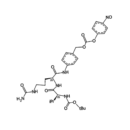 CC(C)[C@H](NC(=O)OC(C)(C)C)C(=O)N[C@@H](CCCNC(N)=O)C(=O)Nc1ccc(COC(=O)Oc2ccc(N=O)cc2)cc1